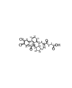 O=C(O)CCC(=O)NCC1c2ccccc2N(C(=O)c2ccc(Cl)c(Cl)c2)C2CCCC12